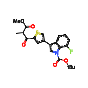 COC(=O)C(C)C(=O)c1cc(-c2cn(C(=O)OC(C)(C)C)c3c(F)cccc23)cs1